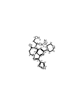 CCC(C)N1C(=O)CCn2nc(-c3cc[nH]n3)c3nc(N4CCOC[C@H]4C)cc1c32